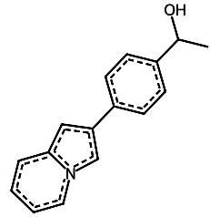 CC(O)c1ccc(-c2cc3ccccn3c2)cc1